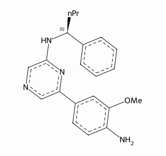 CCC[C@H](Nc1cncc(-c2ccc(N)c(OC)c2)n1)c1ccccc1